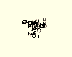 CCCN(C(=O)c1ccc2[nH]ncc2c1)[C@@](CNc1ncc[nH]1)(NS(=O)(=O)c1c(C)cc(-c2ccccc2)cc1C)C(=O)O.O=C(O)C(F)(F)F